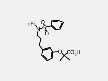 CCCN(CCCc1cccc(OC(C)(C)C(=O)O)c1)S(=O)(=O)c1ccccc1